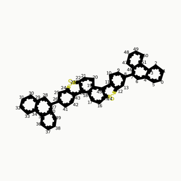 c1ccc2c(c1)cc(-c1ccc3c(c1)sc1ccc4c(ccc5sc6cc(-c7cc8ccccc8c8ccccc78)ccc6c54)c13)c1ccccc12